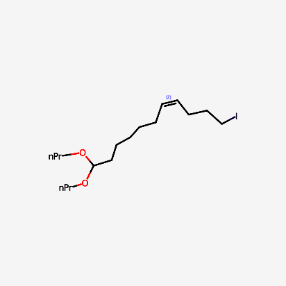 CCCOC(CCCCC/C=C\CCCI)OCCC